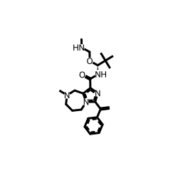 C=C(c1ccccc1)c1nc(C(=O)N[C@H](OCNC)C(C)(C)C)c2n1CCCN(C)C2